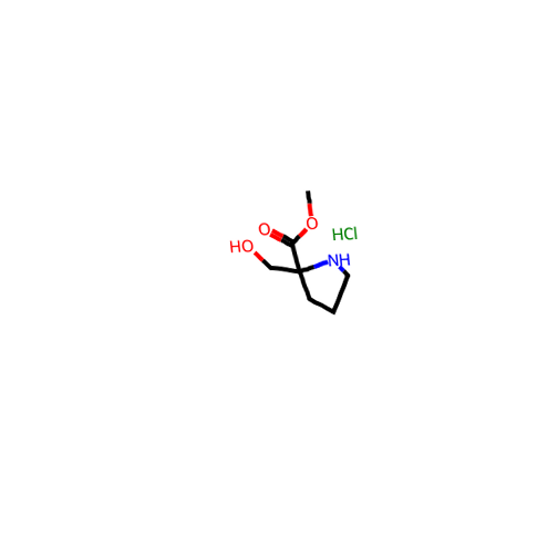 COC(=O)C1(CO)CCCN1.Cl